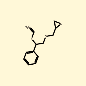 C=CSC(COCC1CO1)c1ccccc1